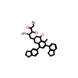 CCCC(CC1CC(=O)c2c(C)c(-c3cccc4c3CCC4)cc(-c3ccc4c(c3)CCC4)c2C1)C(CC)C(=O)CC(C)=O